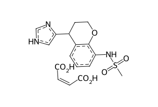 CS(=O)(=O)Nc1cccc2c1OCCC2c1c[nH]cn1.O=C(O)/C=C\C(=O)O